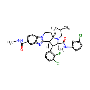 CNC(=O)c1ccc2c(c1)nc1n2CC[C@H]2[C@@H]1[C@H](c1cccc(Cl)c1F)[C@](C)(C(=O)Nc1cccc(Cl)c1)N2CC(C)C